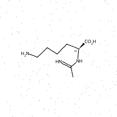 CC(=N)N[C@@H](CCCCN)C(=O)O